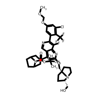 COCOc1cc(Cl)c(C(F)(F)F)c(-c2ncc3c(N4CC5CCC(C4)N5C(=O)OC(C)(C)C)nc(OC[C@]45CCCN4[C@H](CO)CC5)nc3c2F)c1